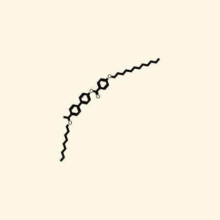 CCCCCCCCCCCCOc1ccc(C(=O)Oc2ccc(-c3ccc(C(C)OCCCCCCCCC)cc3)cc2)cc1